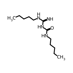 CCCCCNC(=N)NC(=O)NCCCCC